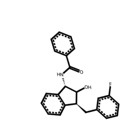 O=C(N[C@H]1c2ccccc2[C@H](Cc2cccc(F)c2)C1O)c1ccccc1